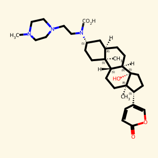 CN1CCN(CCN(C(=O)O)[C@H]2CC[C@@]3(C)[C@H](CC[C@@H]4[C@@H]3CC[C@]3(C)[C@@H](c5ccc(=O)oc5)CC[C@]43O)C2)CC1